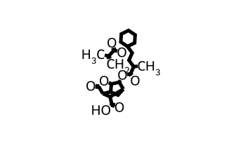 C=C(C)C(=O)OC1(CCC(C)C(=O)OC2C3CC4C2OC(=O)C4C3C(=O)O)CCCCC1